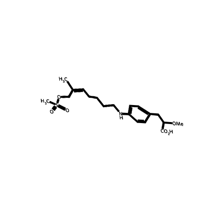 COC(Cc1ccc(NCCCCC=C(C)COS(C)(=O)=O)cc1)C(=O)O